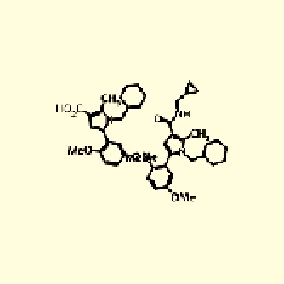 COc1ccc(OC)c(-c2cc(C(=O)NCC3CC3)c(C)n2CC2CCCCC2)c1.COc1ccc(OC)c(-c2cc(C(=O)O)c(C)n2CC2CCCCC2)c1